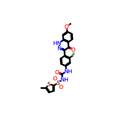 COc1ccc2c(=O)c(-c3ccc(NC(=O)NS(=O)(=O)c4ccc(C)s4)cc3F)n[nH]c2c1